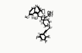 COc1ccc2ncc(Cl)c([C@H](O)CCC3(C(=O)NO)CCN(CC#Cc4cc(F)cc(F)c4F)CC3)c2c1